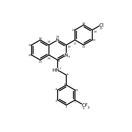 FC(F)(F)c1cccc(CNc2nc(-c3ccc(Cl)cc3)nc3ccccc23)c1